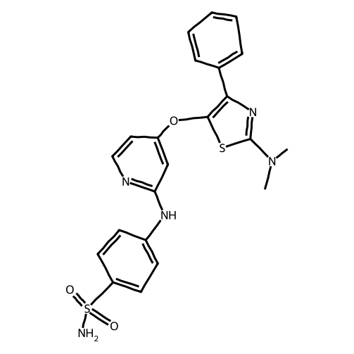 CN(C)c1nc(-c2ccccc2)c(Oc2ccnc(Nc3ccc(S(N)(=O)=O)cc3)c2)s1